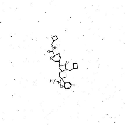 CN(C)[C@]1(c2cccc(F)c2)CC[C@]2(CC1)CN(c1cnc(C(=O)NCC3CCC3)nc1)C(=O)N2CC1CCC1